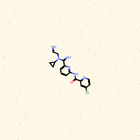 N=CCN(C(=N)c1cccc(NC(=O)c2cc(Cl)ccn2)n1)C1CC1